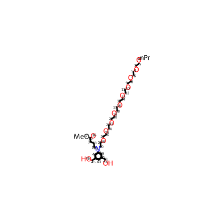 CCCOCCOCCOCCOCCOCCOCCOCCOCCOCCOCCN(CCCC(=O)OC)c1cc(CO)cc(CO)c1